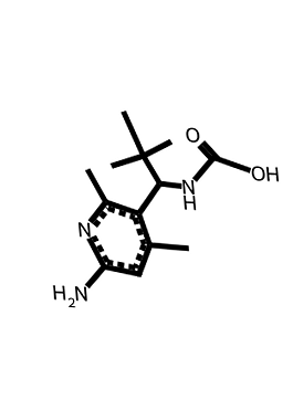 Cc1cc(N)nc(C)c1C(NC(=O)O)C(C)(C)C